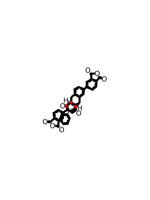 O=C1OC(=O)c2cc(-c3ccc4c(c3)C3c5ccc(-c6ccc7c(c6)C(=O)OC7=O)cc5C4[C@@H]4C(=O)N(c5ccccc5)C(=O)[C@H]34)ccc21